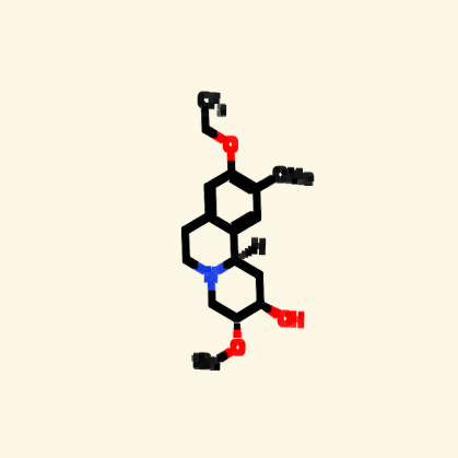 COc1cc2c(cc1OCC(F)(F)F)CCN1C[C@@H](OC(C)(C)C)[C@H](O)C[C@H]21